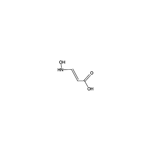 O=C(O)/C=C/NO